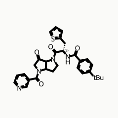 CC(C)(C)c1ccc(C(=O)N[C@@H](Cc2cccs2)C(=O)N2CCC3C2C(=O)CN3C(=O)c2cccnc2)cc1